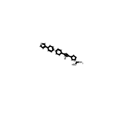 CCCCC(N)[C@H]1CCC(C2C3C(C4C=C[C@@H](C5=CCC(C6=CCN=C6)C=C5)CC4)[C@H]23)C1